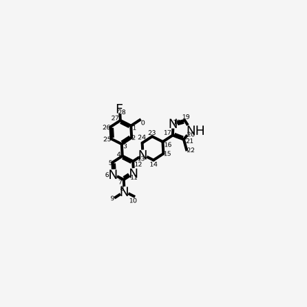 Cc1cc(-c2cnc(N(C)C)nc2N2CCC(c3nc[nH]c3C)CC2)ccc1F